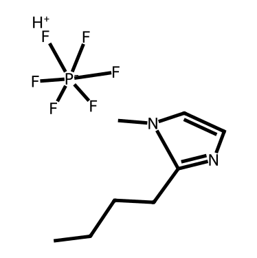 CCCCc1nccn1C.F[P-](F)(F)(F)(F)F.[H+]